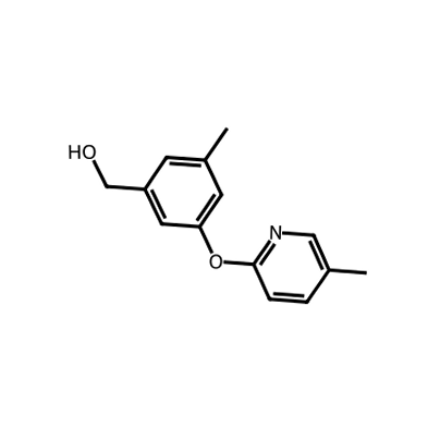 Cc1ccc(Oc2cc(C)cc(CO)c2)nc1